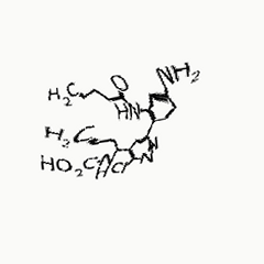 C=CCCC(=O)Nc1cc(N)ccc1-c1cc(C(CC=C)NC(=O)O)c(Cl)nn1